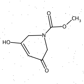 COC(=O)N1CC(=O)C=C(O)C1